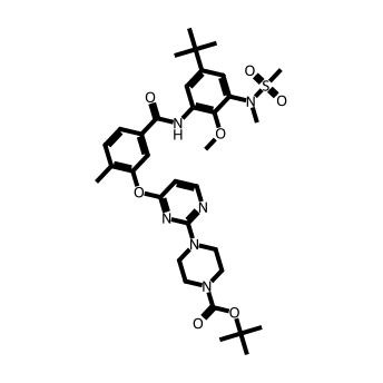 COc1c(NC(=O)c2ccc(C)c(Oc3ccnc(N4CCN(C(=O)OC(C)(C)C)CC4)n3)c2)cc(C(C)(C)C)cc1N(C)S(C)(=O)=O